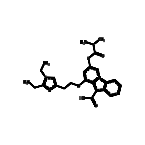 CCc1nc(CCOc2cc(OC(=O)N(C)C)cn3c2c(C(=O)O)c2ccccc23)cn1CC